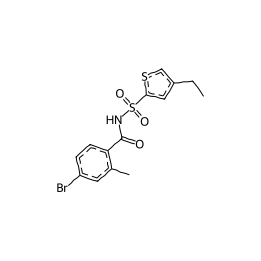 CCc1csc(S(=O)(=O)NC(=O)c2ccc(Br)cc2C)c1